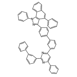 c1ccc(-c2cccc(-c3nc(-c4ccccc4)cc(-c4cccc(-c5ccc(-c6nn(-c7ccccc7)c7c6c(-c6ccccc6)cc6ccccc67)cc5)c4)n3)c2)cc1